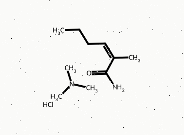 CCCC=C(C)C(N)=O.CN(C)C.Cl